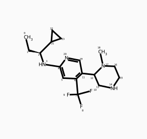 CC[C@H](Nc1cc(C(F)(F)F)c(C2CNCCN2C)cn1)C1CC1